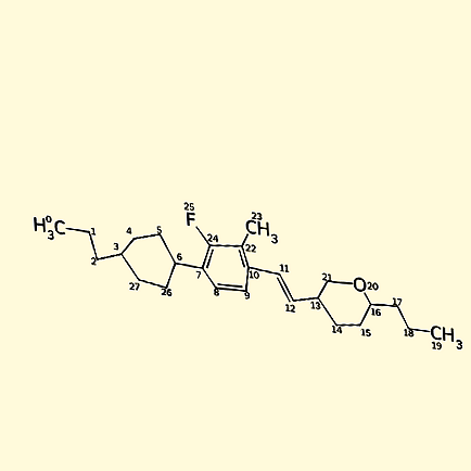 CCCC1CCC(c2ccc(/C=C/C3CCC(CCC)OC3)c(C)c2F)CC1